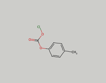 Cc1ccc(OC(=O)OCl)cc1